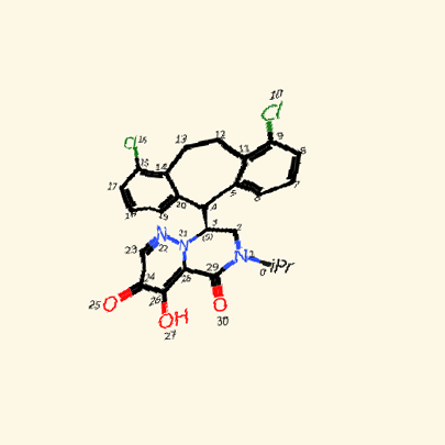 CC(C)N1C[C@H](C2c3cccc(Cl)c3CCc3c(Cl)cccc32)n2ncc(=O)c(O)c2C1=O